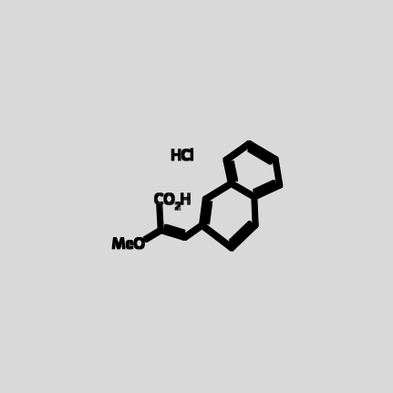 COC(=Cc1ccc2ccccc2c1)C(=O)O.Cl